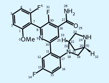 COc1cccc(F)c1-c1nc(-c2cc(F)ccc2N2C[C@@H]3C[C@H]2CN3)cc(C(N)=O)c1F